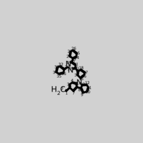 C=Cc1ccc2c(c1)c1ccccc1n2-c1cccc(-c2cc(-c3ccccc3)nc(-c3ccccc3)n2)c1